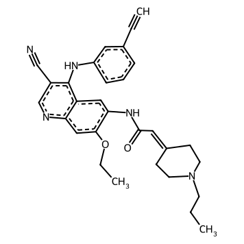 C#Cc1cccc(Nc2c(C#N)cnc3cc(OCC)c(NC(=O)C=C4CCN(CCC)CC4)cc23)c1